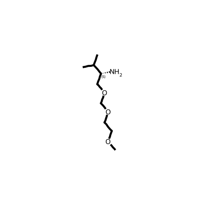 COCCOCOC[C@@H](N)C(C)C